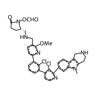 COc1nc(-c2cccc(-c3ccnc(-c4ccc5c6c(n(C)c5c4)CCNC6)c3Cl)c2Cl)ccc1CNC[C@@H]1CCC(=O)N1OC=O